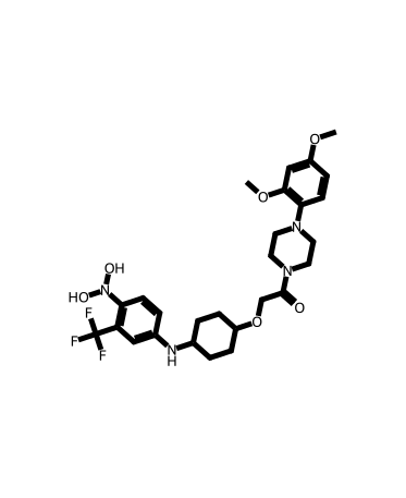 COc1ccc(N2CCN(C(=O)COC3CCC(Nc4ccc(N(O)O)c(C(F)(F)F)c4)CC3)CC2)c(OC)c1